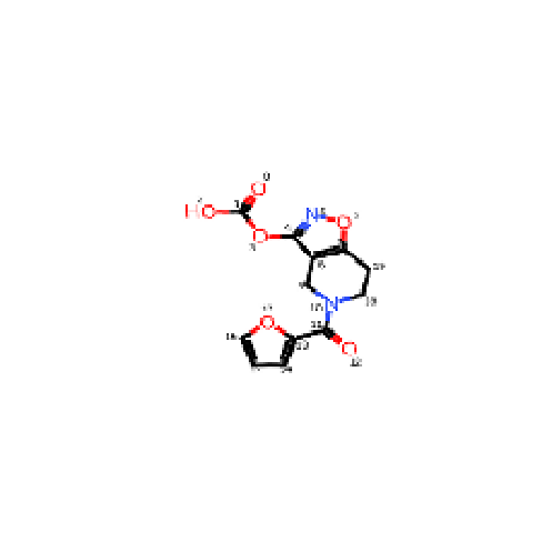 O=C(O)Oc1noc2c1CN(C(=O)c1ccco1)CC2